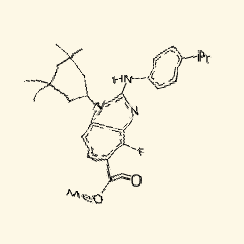 COC(=O)c1ccc2c(nc(Nc3ccc(C(C)C)cc3)n2C2CC(C)(C)CC(C)(C)C2)c1F